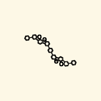 C1=CC2Oc3c(ccc4c3oc3ccc(-c5ccc(-c6ccc7oc8c(ccc9c%10cc(-c%11ccccc%11)ccc%10oc98)c7c6)cc5)cc34)C2C=C1c1ccccc1